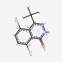 CC(C)(C)c1n[nH]c(=O)c2c(Cl)ccc(Cl)c12